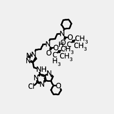 CC(C)(C)OC(=O)N(CCCN(C(=O)OC(C)(C)C)C1CCCCC1)CCCn1cc(CNc2nc(Cl)nc3c2N=CC3C2CCCCO2)nn1